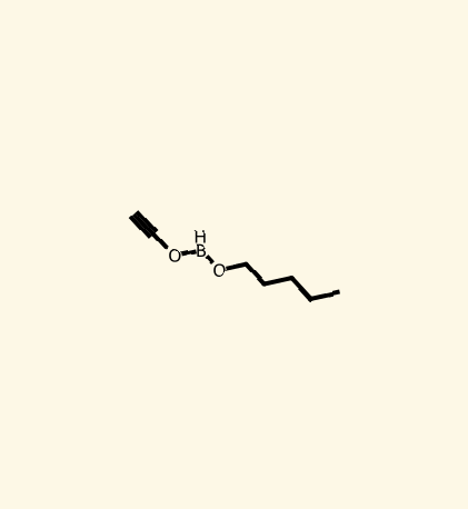 C#COBOCCCCC